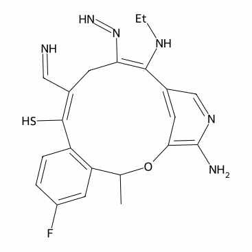 CCN/C1=C(\N=N)C/C(C=N)=C(/S)c2ccc(F)cc2C(C)Oc2cc1cnc2N